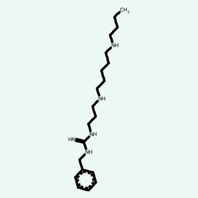 CCCCNCCCCCNCCCNC(=N)NCc1ccccc1